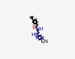 N#Cc1cnc(NCCNC(=O)Cc2ccc(C3CC3)cc2)cn1